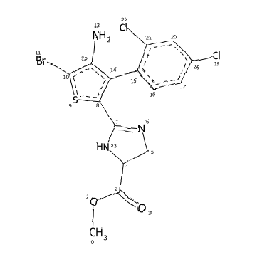 COC(=O)C1CN=C(c2sc(Br)c(N)c2-c2ccc(Cl)cc2Cl)N1